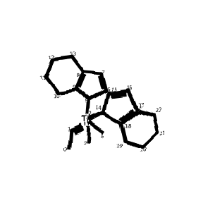 C[CH]=[Ti]([CH3])([CH3])([CH]1C=CC2=C1CCCC2)[CH]1C=CC2=C1CCCC2